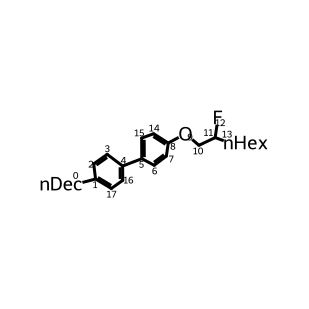 CCCCCCCCCCc1ccc(-c2ccc(OCC(F)CCCCCC)cc2)cc1